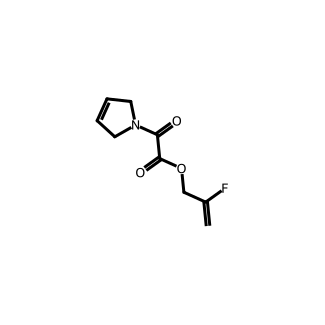 C=C(F)COC(=O)C(=O)N1CC=CC1